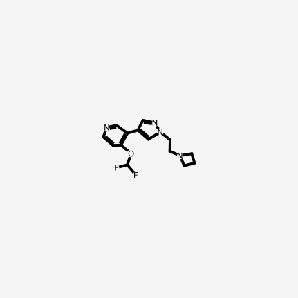 FC(F)Oc1ccncc1-c1cnn(CCN2CCC2)c1